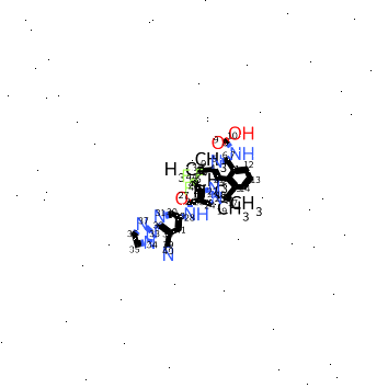 CC(C)(C)c1nc(NC(=O)O)c2cccc(C(C)(C)C)c2c1-n1ncc(C(=O)Nc2cnc(-n3nccn3)c(C#N)c2)c1C(F)(F)F